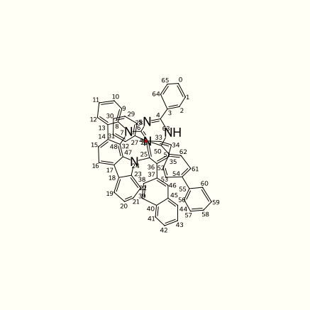 c1ccc(C2=NC(n3c4ccccc4c4ccc5c6ccccc6n(-c6c(-c7ccccc7)cccc6-c6ccc7ccccc7c6)c5c43)=NC(c3ccc(-c4ccccc4)cc3)N2)cc1